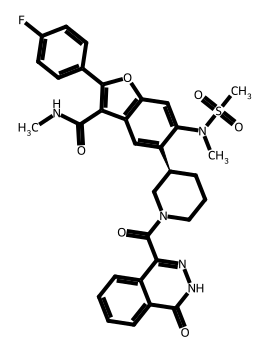 CNC(=O)c1c(-c2ccc(F)cc2)oc2cc(N(C)S(C)(=O)=O)c([C@H]3CCCN(C(=O)c4n[nH]c(=O)c5ccccc45)C3)cc12